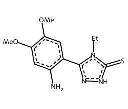 CCn1c(-c2cc(OC)c(OC)cc2N)n[nH]c1=S